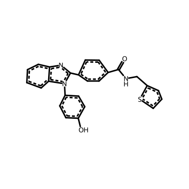 O=C(NCc1cccs1)c1ccc(-c2nc3ccccc3n2-c2ccc(O)cc2)cc1